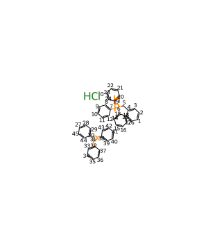 Cl.c1ccc(C[PH](c2ccccc2)(c2ccccc2)c2ccccc2)cc1.c1ccc(P(c2ccccc2)c2ccccc2)cc1